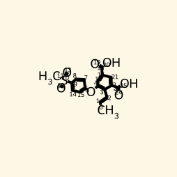 CC=Cc1c(Oc2ccc(S(C)(=O)=O)cc2)cc(C(=O)O)cc1C(=O)O